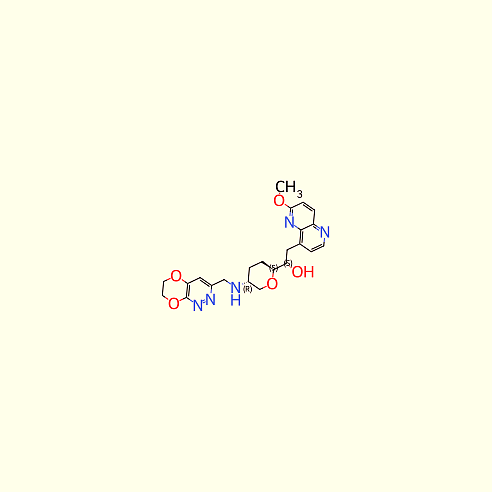 COc1ccc2nccc(C[C@H](O)[C@@H]3CC[C@@H](NCc4cc5c(nn4)OCCO5)CO3)c2n1